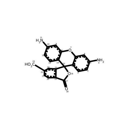 Nc1ccc2c(c1)Oc1cc(N)ccc1C21OC(=O)c2ccc(C(=O)O)cc21